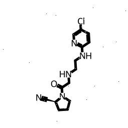 N#C[C@@H]1CCCN1C(=O)CNCCNc1ccc(Cl)cn1